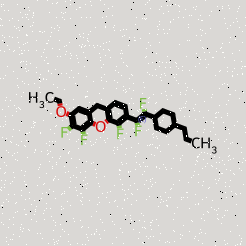 CCCC1CCC(/C(F)=C(\F)c2ccc3c(c2F)Oc2c(cc(OCC)c(F)c2F)C3)CC1